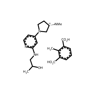 CN[C@H]1CCN(c2ccnc(NCC(C)O)c2)C1.Cc1c(C(=O)O)cccc1C(=O)O